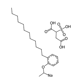 CCCCCCCCCCCCc1ccccc1O[CH](C)[Na].O=C(O)CC(C(=O)O)S(=O)(=O)O